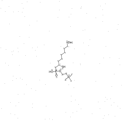 CCCCCCCCCCCCCCCCC(S)CP(=O)(O)OCC[N+](C)(C)C